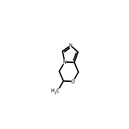 CC1Cn2cncc2CO1